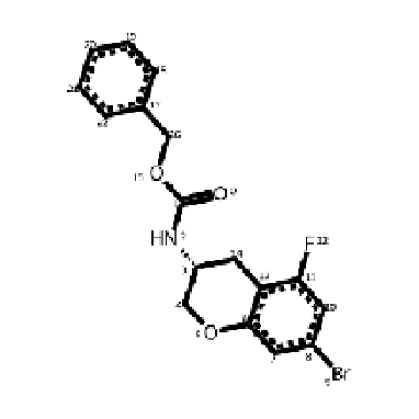 O=C(N[C@H]1COc2cc(Br)cc(F)c2C1)OCc1ccccc1